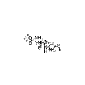 CC(C)(C)OC(=O)[C@@H](N)CNC(=O)C(=O)Nc1ccc(CI)cn1